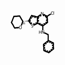 Clc1cc(NCc2ccccc2)c2sc([C@H]3CCCCO3)cc2n1